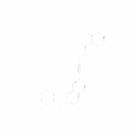 CCN1CCC(Nc2cnc3ccc(C#CCNC(=O)c4ccc[nH]c4=O)cc3n2)CC1